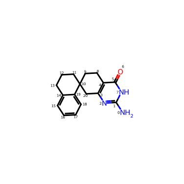 Nc1nc2c(c(=O)[nH]1)CCC1(CCCc3ccccc31)C2